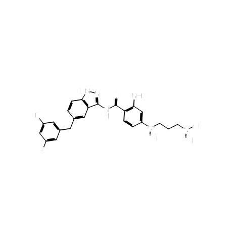 CN(C)CCCN(C)c1ccc(C(=O)Nc2n[nH]c3ccc(Cc4cc(F)cc(F)c4)cc23)c(N)c1